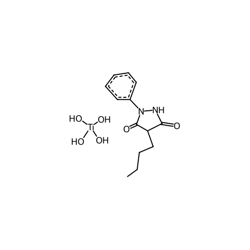 CCCCC1C(=O)NN(c2ccccc2)C1=O.[OH][Ti]([OH])([OH])[OH]